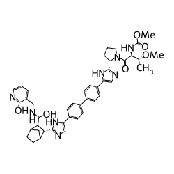 COC(=O)N[C@H](C(=O)N1CCC[C@H]1c1ncc(-c2ccc(-c3ccc(-c4cnc([C@@H]5C6CCC(C6)C5C(O)NCc5cccnc5O)[nH]4)cc3)cc2)[nH]1)[C@@H](C)OC